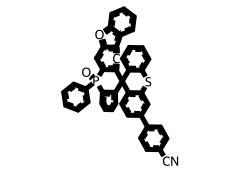 N#Cc1ccc(-c2ccc3c(c2)Sc2ccccc2C32c3ccccc3P(=O)(c3ccccc3)c3cc4oc5ccccc5c4cc32)cc1